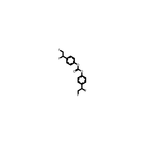 O=C(Oc1ccc(C(F)CF)cc1)Oc1ccc(C(F)CF)cc1